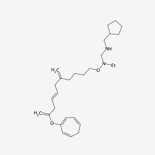 C=C(CC=CCC(=C)OC1=CC=CCC=C1)CCCCON(CC)CNCC1CCCC1